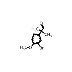 COc1ccc(C(C)(C)C=O)cc1Br